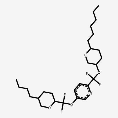 CCCCCCC1CCC(OC(F)(F)c2ccc(OC(F)(F)C3CCC(CCCC)CO3)cn2)CO1